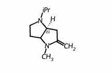 C=C1C[C@H]2C(CCN2C(C)C)N1C